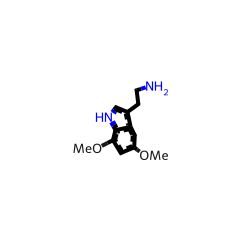 COc1cc(OC)c2[nH]cc(CCN)c2c1